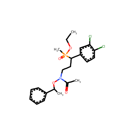 CCOP(C)(=O)C(CCN(OC(C)c1ccccc1)C(C)=O)c1ccc(Cl)c(Cl)c1